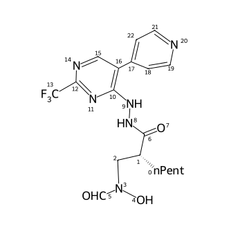 CCCCC[C@H](CN(O)C=O)C(=O)NNc1nc(C(F)(F)F)ncc1-c1ccncc1